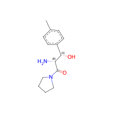 Cc1ccc([C@H](O)[C@@H](N)C(=O)N2CCCC2)cc1